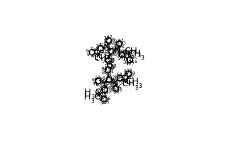 CC1(C)c2ccccc2-c2ccc(N(c3ccccc3)c3cc(-c4ccc5c(c4)sc4cc(-c6cc(N(c7ccccc7)c7ccc8c(c7)C(C)(C)c7ccccc7-8)cc(N(c7ccccc7)c7ccc8c(c7)C(C)(C)c7ccccc7-8)c6)ccc45)cc(N(c4ccccc4)c4ccc5c(c4)C(C)(C)c4ccccc4-5)c3)cc21